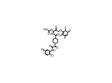 CC1=CC(F)C(F)C(OCC(=O)[C@H](CC(=O)O)NC(=O)C2CCN(C(=O)C(=O)Nc3cc(Cl)ccc3Cl)CC2)=C1F